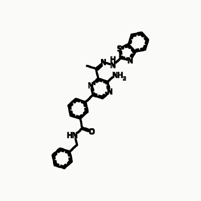 CC(=NNc1nc2ccccc2s1)c1nc(-c2cccc(C(=O)NCc3ccccc3)c2)cnc1N